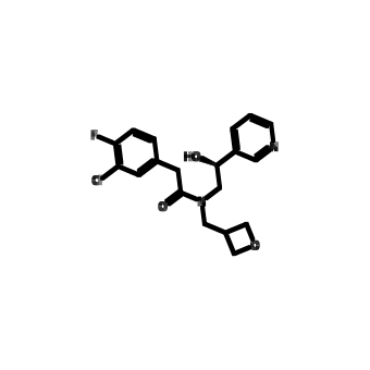 O=C(Cc1ccc(F)c(Cl)c1)N(CC1COC1)C[C@@H](O)c1cccnc1